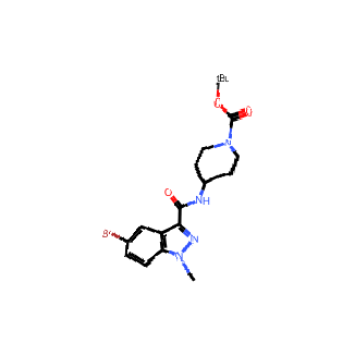 Cn1nc(C(=O)NC2CCN(C(=O)OC(C)(C)C)CC2)c2cc(Br)ccc21